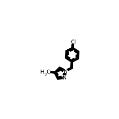 Cc1cnn(Cc2ccc(Cl)cc2)c1